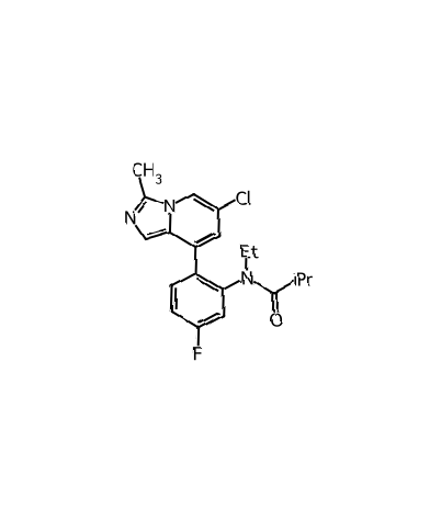 CCN(C(=O)C(C)C)c1cc(F)ccc1-c1cc(Cl)cn2c(C)ncc12